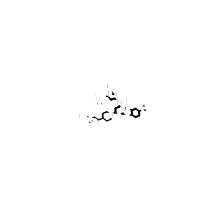 CC[S+]([O-])c1ccc(Sc2nc(Nc3cc(C)[nH]n3)c(OC)c(N3CCC(CCN(C)C)CC3)n2)c(F)c1